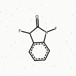 O=C1C(F)c2ccccc2N1F